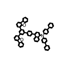 c1ccc(-c2ccc(N(c3ccc(-c4ccccc4)cc3)c3ccc(-c4ccc(-c5cc(-c6cccc7c6oc6ccccc67)cc(-c6cccc7c6oc6ccccc67)c5)cc4)c4ccccc34)cc2)cc1